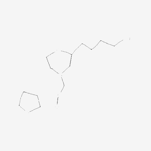 C1CCOC1.CCCCCC1CN(CCO)CCO1